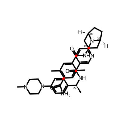 Cc1cc(C(=O)N[C@H]2C[C@H]3CC[C@@H](C2)N3c2ccc(C(=O)N[C@@H](C)c3ccc(N4CCN(C)CC4)cc3)cn2)c(C)cc1C(N)=O